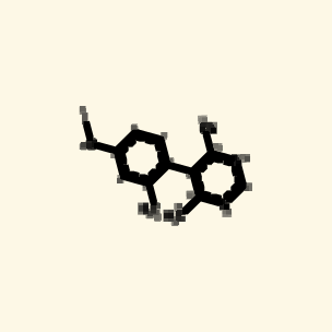 Cc1cc(OI)ccc1-c1c(C)ncnc1C#N